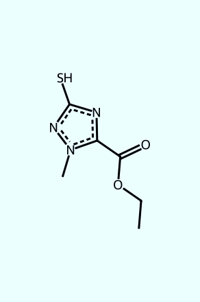 CCOC(=O)c1nc(S)nn1C